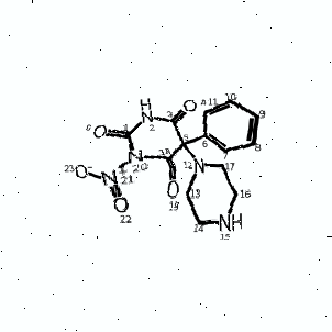 O=C1NC(=O)C(c2ccccc2)(N2CCNCC2)C(=O)N1[N+](=O)[O-]